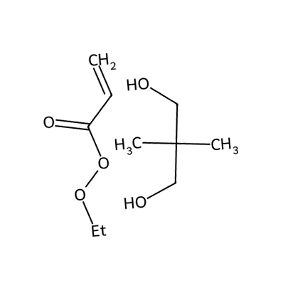 C=CC(=O)OOCC.CC(C)(CO)CO